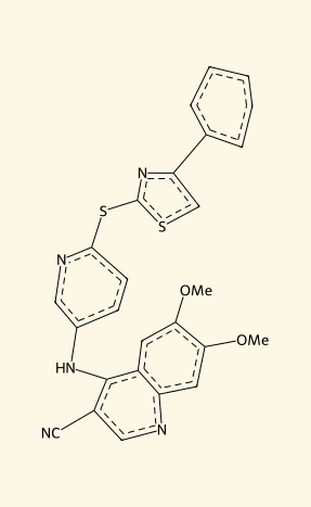 COc1cc2ncc(C#N)c(Nc3ccc(Sc4nc(-c5ccccc5)cs4)nc3)c2cc1OC